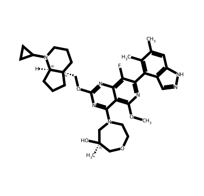 COc1nc(-c2c(C)c(C)cc3[nH]ncc23)c(F)c2nc(OC[C@]34CCC[C@H]3N(C3CC3)CCC4)nc(N3CCOC[C@@](C)(O)C3)c12